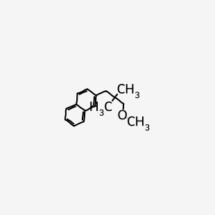 COCC(C)(C)Cc1ccc2ccccc2c1